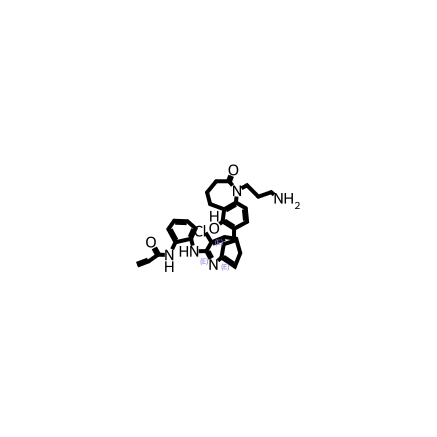 C=CC(=O)Nc1ccccc1NC1=N/C(CCc2ccc3c(c2O)CCCC(=O)N3CCCN)=C/CC/C=C\1Cl